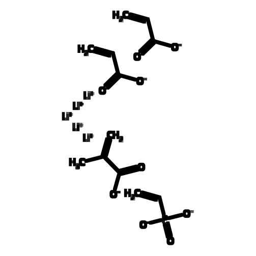 C=C(C)C(=O)[O-].C=CC(=O)[O-].C=CC(=O)[O-].C=CP(=O)([O-])[O-].[Li+].[Li+].[Li+].[Li+].[Li+]